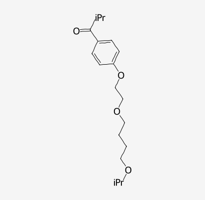 CC(C)OCCCCOCCOc1ccc(C(=O)C(C)C)cc1